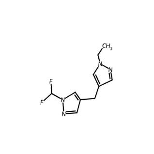 CCn1cc(Cc2cnn(C(F)F)c2)cn1